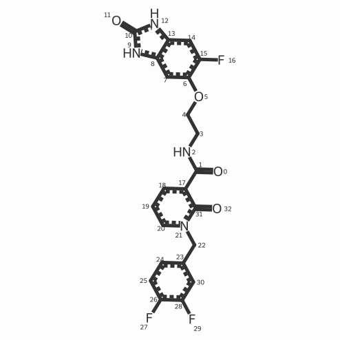 O=C(NCCOc1cc2[nH]c(=O)[nH]c2cc1F)c1cccn(Cc2ccc(F)c(F)c2)c1=O